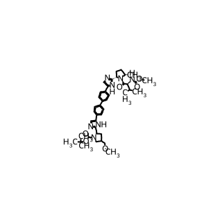 COCC1CC(c2ncc(-c3ccc(-c4ccc(-c5cnc([C@@H]6CC[C@H](C)N6C(=O)[C@@H](NC(=O)OC)C(C)C)[nH]5)cc4)cc3)[nH]2)N(C(=O)OC(C)(C)C)C1